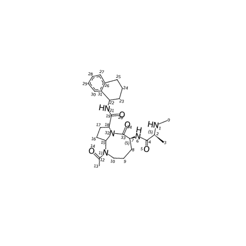 CN[C@@H](C)C(=O)N[C@H]1CCCN(C(C)=O)C2CCC(C(=O)NC3CCCc4ccccc43)N2C1=O